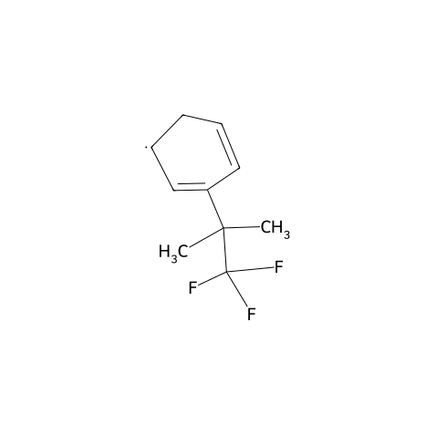 CC(C)(C1=C[CH]CC=C1)C(F)(F)F